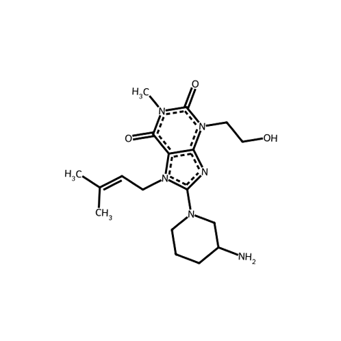 CC(C)=CCn1c(N2CCCC(N)C2)nc2c1c(=O)n(C)c(=O)n2CCO